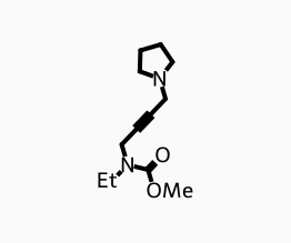 CCN(CC#CCN1CCCC1)C(=O)OC